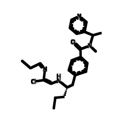 CC/C=N\C(Cl)=C/N[C@@H](CCC)Cc1ccc(C(=O)N(C)C(C)c2cccnc2)cc1